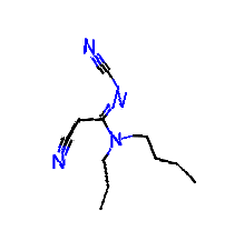 CCCCN(CCC)/C(CC#N)=N/C#N